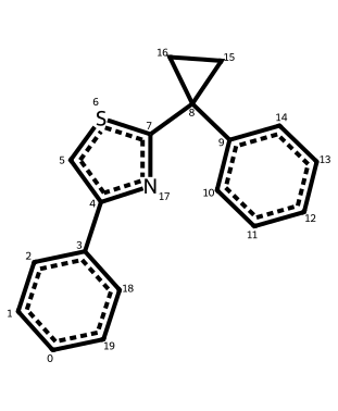 c1ccc(-c2csc(C3(c4ccccc4)CC3)n2)cc1